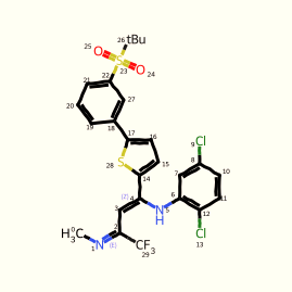 C/N=C(\C=C(/Nc1cc(Cl)ccc1Cl)c1ccc(-c2cccc(S(=O)(=O)C(C)(C)C)c2)s1)C(F)(F)F